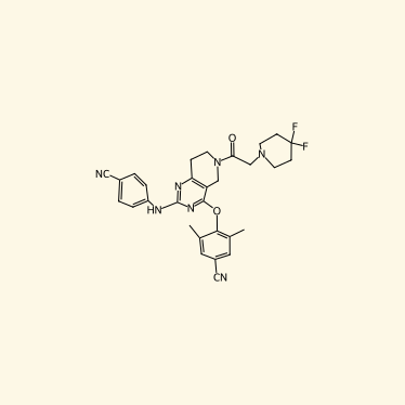 Cc1cc(C#N)cc(C)c1Oc1nc(Nc2ccc(C#N)cc2)nc2c1CN(C(=O)CN1CCC(F)(F)CC1)CC2